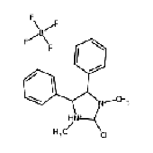 CN1C(c2ccccc2)C(c2ccccc2)[NH+](C)C1Cl.F[B-](F)(F)F